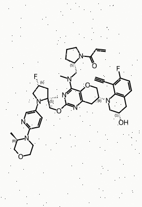 C#Cc1c(F)ccc2c1N([C@H]1COc3c(nc(OC[C@]4(C)C[C@@H](F)CN4c4ccc(N5CCOC[C@H]5C)nc4)nc3N(C)C[C@@H]3CCCN3C(=O)C=C)C1)C[C@@H](O)C2